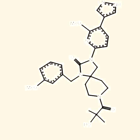 COc1cccc(CN2C(=O)N(c3ccc(-c4cn[nH]c4)c(OC)n3)CC23CCN(C(=O)C(C)(C)O)CC3)c1